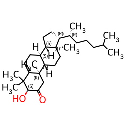 CC(C)CCC[C@@H](C)[C@H]1CC[C@H]2[C@@H]3CC=C4C(C)(C)[C@H](O)C(=O)C[C@]4(C)[C@H]3CC[C@]12C